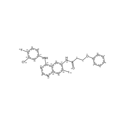 O=C(CCOc1ccccc1)Nc1cc2c(Nc3ccc(F)c(Cl)c3)ncnc2cc1I